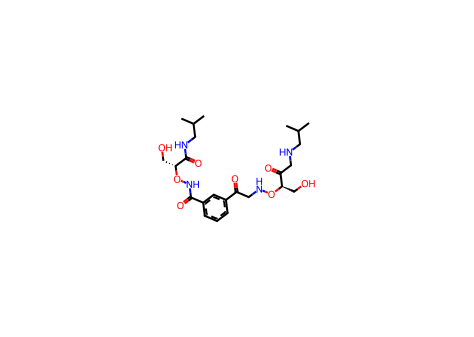 CC(C)CNCC(=O)[C@@H](CO)ONCC(=O)c1cccc(C(=O)NO[C@H](CO)C(=O)NCC(C)C)c1